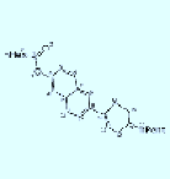 CCCCCCC(=O)Oc1ccc2cc(C3=CCC(CCCCC)CC3)ccc2c1